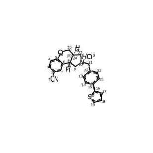 Cl.N#Cc1ccc2c(c1)[C@H]1CN(Cc3ccc(-c4cccs4)cc3)C[C@@H]1CO2